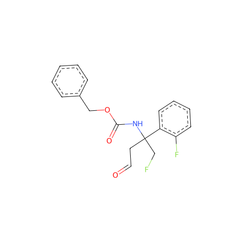 O=CCC(CF)(NC(=O)OCc1ccccc1)c1ccccc1F